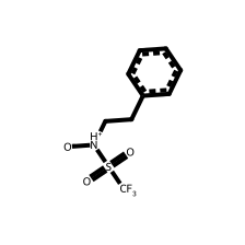 O=S(=O)([NH+]([O-])CCc1ccccc1)C(F)(F)F